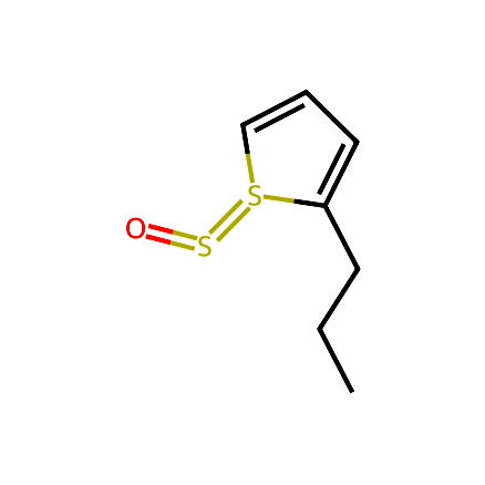 CCCC1=CC=CS1=S=O